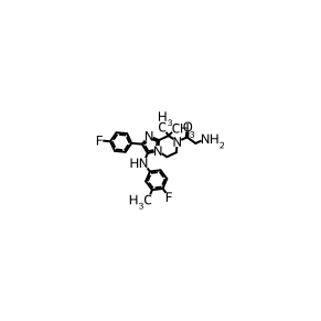 Cc1cc(Nc2c(-c3ccc(F)cc3)nc3n2CCN(C(=O)CN)C3(C)C)ccc1F